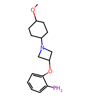 COC1CCC(N2CC(Oc3ccccc3P)C2)CC1